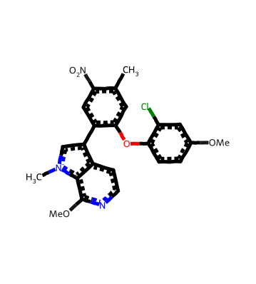 COc1ccc(Oc2cc(C)c([N+](=O)[O-])cc2-c2cn(C)c3c(OC)nccc23)c(Cl)c1